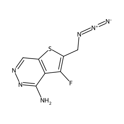 [N-]=[N+]=NCc1sc2cnnc(N)c2c1F